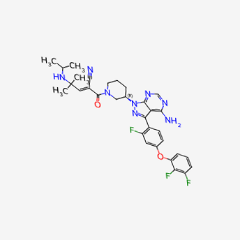 CC(C)NC(C)(C)C=C(C#N)C(=O)N1CCC[C@@H](n2nc(-c3ccc(Oc4cccc(F)c4F)cc3F)c3c(N)ncnc32)C1